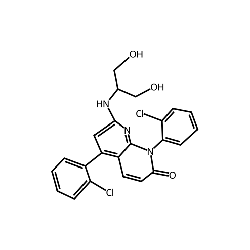 O=c1ccc2c(-c3ccccc3Cl)cc(NC(CO)CO)nc2n1-c1ccccc1Cl